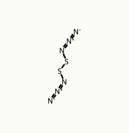 [N-]=[N+]=NSSN=[N+]=[N-]